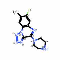 Cc1cc2c(cc1F)nc(N1CCNCC1)c1nnnn12